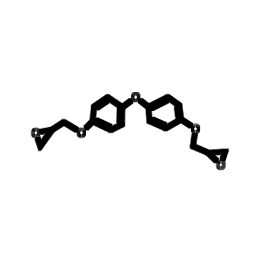 c1cc(Oc2ccc(OCC3CO3)cc2)ccc1OCC1CO1